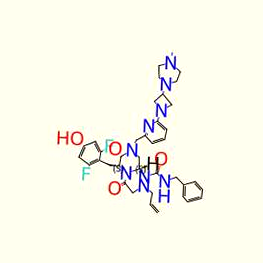 C=CCN1CC(=O)N2[C@@H](Cc3c(F)cc(O)cc3F)C(=O)N(Cc3cccc(N4CC(N5CCN(C)CC5)C4)n3)C[C@@H]2N1C(=O)NCc1ccccc1